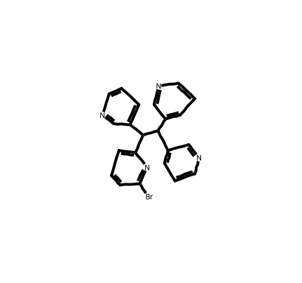 Brc1cccc(C(c2cccnc2)C(c2cccnc2)c2cccnc2)n1